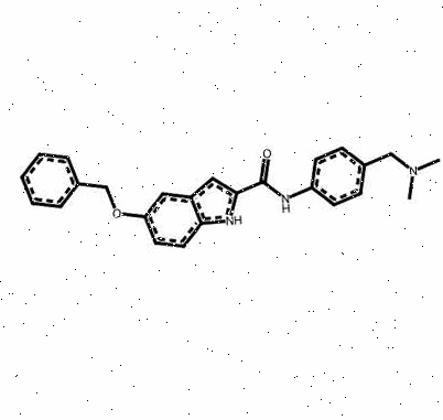 CN(C)Cc1ccc(NC(=O)c2cc3cc(OCc4ccccc4)ccc3[nH]2)cc1